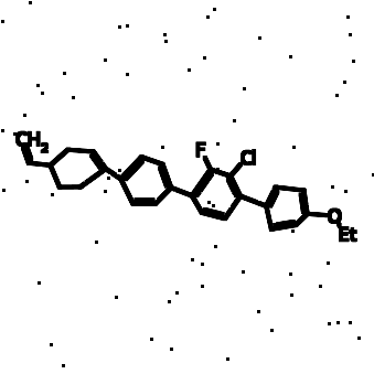 C=CC1CC=C(c2ccc(-c3ccc(-c4ccc(OCC)cc4)c(Cl)c3F)cc2)CC1